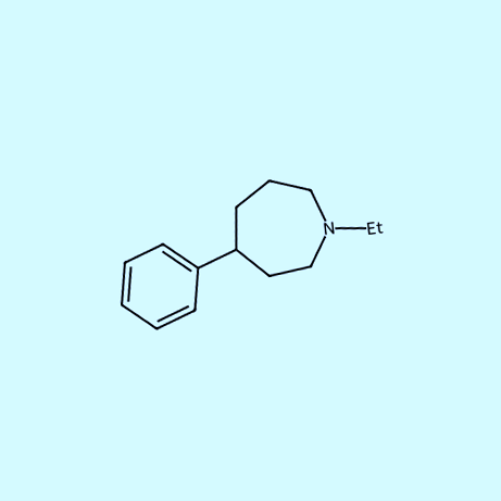 CCN1CCCC(c2ccccc2)CC1